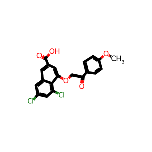 COc1ccc(C(=O)COc2cc(C(=O)O)cc3cc(Cl)cc(Cl)c23)cc1